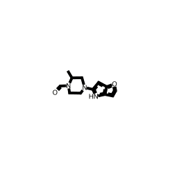 CC1CN(c2cc3occc3[nH]2)CCN1C=O